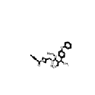 CC#CC(=O)N1CC(CNC(=NNC)/C(=C\N)C(N)c2ccc(Oc3ccccc3)cc2)C1